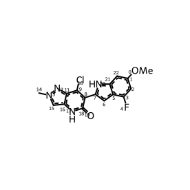 COc1cc(F)c2cc(-c3c(Cl)c4nn(C)cc4[nH]c3=O)[nH]c2c1